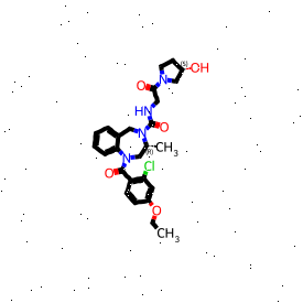 CCOc1ccc(C(=O)N2C[C@@H](C)N(C(=O)NCC(=O)N3CC[C@H](O)C3)Cc3ccccc32)c(Cl)c1